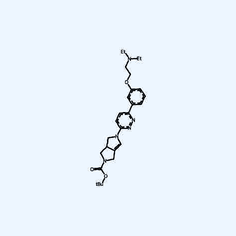 CCN(CC)CCOc1cccc(-c2ccc(N3C=C4CN(C(=O)OC(C)(C)C)CC4C3)nn2)c1